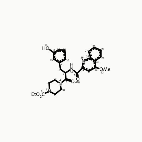 CCOC(=O)N1CCN(C(=O)C(Cc2cccc(O)c2)NC(=O)c2cc(OC)c3ccccc3n2)CC1